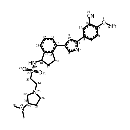 CC(C)Oc1ccc(-c2ncc(-c3cccc4c3CCC4NS(=O)(=O)CCN3CC[C@@H](N(C)C)C3)s2)cc1C#N